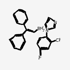 BC=C(c1ccccc1)c1ccccc1.Fc1ccc(-n2ccnc2)c(Cl)c1